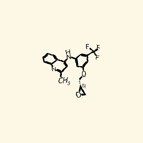 Cc1cc(Nc2cc(OC[C@@H]3CO3)cc(C(F)(F)F)c2)c2ccccc2n1